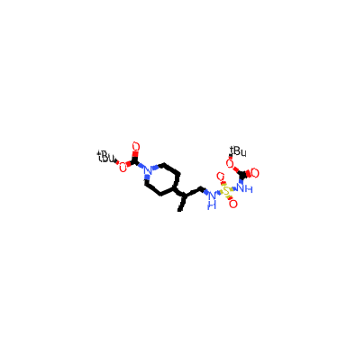 CC(CNS(=O)(=O)NC(=O)OC(C)(C)C)C1CCN(C(=O)OC(C)(C)C)CC1